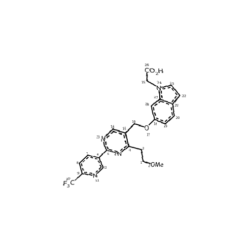 COCCc1nc(-c2ccc(C(F)(F)F)nc2)ncc1COc1ccc2ccn(CC(=O)O)c2c1